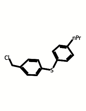 CCCc1ccc(Sc2ccc(CCl)cc2)cc1